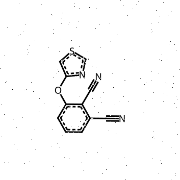 N#Cc1cccc(Oc2cs[c]n2)c1C#N